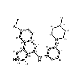 COc1ccc2nc(Nc3cccc(N4CCN(C)CC4)c3)c3n[nH]cc3c2c1